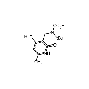 Cc1cc(C)c(CN(C(=O)O)C(C)(C)C)c(=O)[nH]1